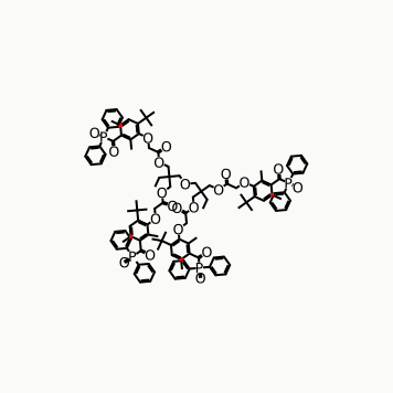 CCC(COCC(CC)(COC(=O)COc1c(C(C)(C)C)cc(C)c(C(=O)P(=O)(c2ccccc2)c2ccccc2)c1C)COC(=O)COc1c(C(C)(C)C)cc(C)c(C(=O)P(=O)(c2ccccc2)c2ccccc2)c1C)(COC(=O)COc1c(C(C)(C)C)cc(C)c(C(=O)P(=O)(c2ccccc2)c2ccccc2)c1C)COC(=O)COc1c(C(C)(C)C)cc(C)c(C(=O)P(=O)(c2ccccc2)c2ccccc2)c1C